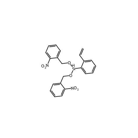 C=Cc1ccccc1[SiH](OCc1ccccc1[N+](=O)[O-])OCc1ccccc1[N+](=O)[O-]